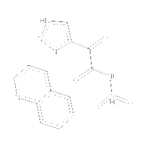 O=C(N[SH](=O)=O)C(=O)c1c[nH]nn1.c1ccc2ncccc2c1